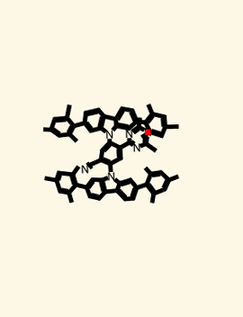 Cc1cc(C)c(-c2ccc3c4ccc(-c5c(C)cc(C)cc5C)cc4n(-c4cc(-c5nc(C)nc(C)n5)c(-n5c6cc(-c7c(C)cc(C)cc7C)ccc6c6ccc(-c7c(C)cc(C)cc7C)cc65)cc4C#N)c3c2)c(C)c1